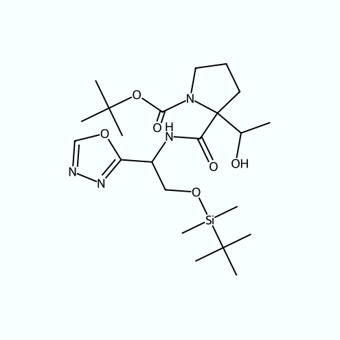 CC(O)C1(C(=O)NC(CO[Si](C)(C)C(C)(C)C)c2nnco2)CCCN1C(=O)OC(C)(C)C